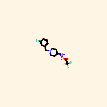 O=C(ONC1CCN(Cc2cccc(F)c2)CC1)C(F)(F)F